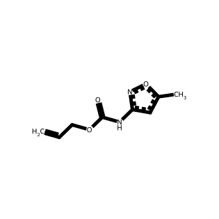 C=CCOC(=O)Nc1cc(C)on1